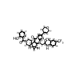 O=C(Cn1c2c(c(=O)n3nc(C4=CCOCC4)nc13)C1(CCN(C(=O)c3ncccc3O)CC1)[C@H]1C[C@@H]21)Nc1ccc(C(F)(F)F)cc1Cl